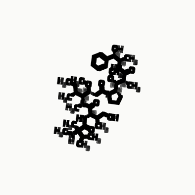 CC[C@H](C)[C@@H]([C@@H](CC(=O)N1CCC[C@H]1[C@H](OC)[C@@H](C)C(=O)N[C@H](C)[C@@H](O)c1ccccc1)OC)N(C)C(=O)[C@@H](NC(=O)C(C)(NC)C(C)C)C(C)CO